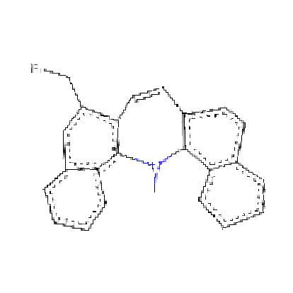 CC(C)Cc1cc2ccccc2c2c1C=Cc1ccc3ccccc3c1N2C